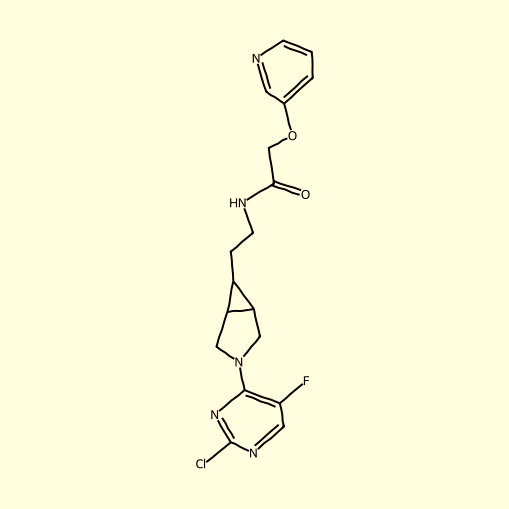 O=C(COc1cccnc1)NCCC1C2CN(c3nc(Cl)ncc3F)CC12